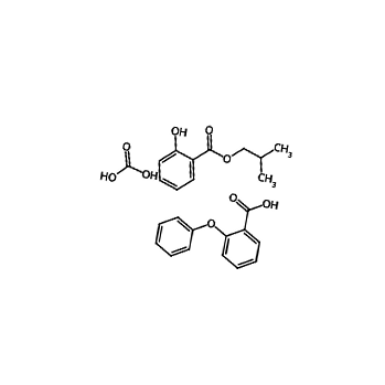 CC(C)COC(=O)c1ccccc1O.O=C(O)O.O=C(O)c1ccccc1Oc1ccccc1